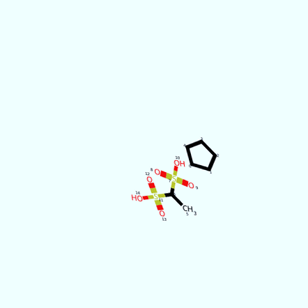 C1CCCC1.CC(S(=O)(=O)O)S(=O)(=O)O